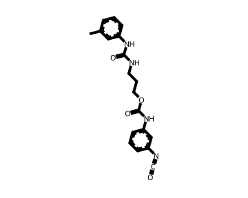 Cc1cccc(NC(=O)NCCCOC(=O)Nc2cccc(N=C=O)c2)c1